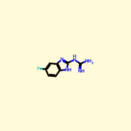 N=C(N)Nc1nc2cc(F)ccc2[nH]1